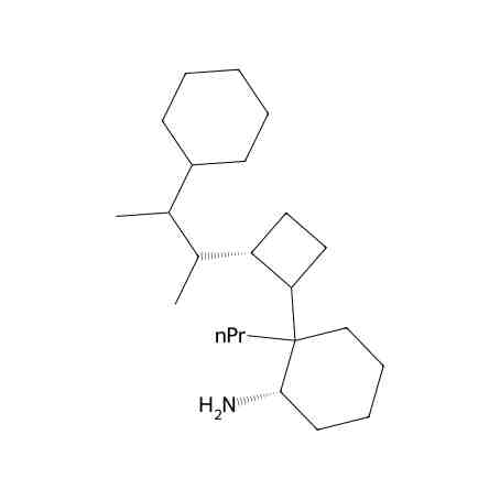 CCCC1(C2CC[C@H]2C(C)C(C)C2CCCCC2)CCCC[C@@H]1N